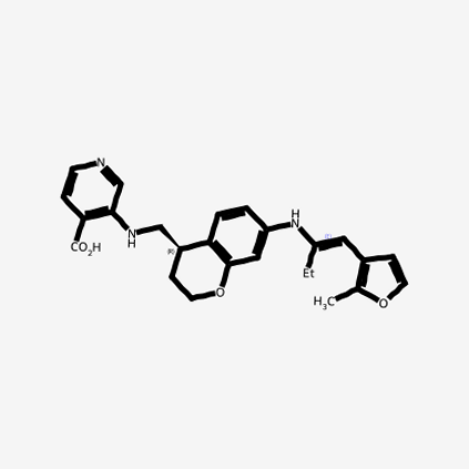 CC/C(=C\c1ccoc1C)Nc1ccc2c(c1)OCC[C@H]2CNc1cnccc1C(=O)O